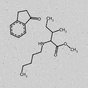 CCCCCNC(C(=O)OC)C(C)CC.O=C1CCc2ccccc21